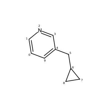 c1cncc(C[C]2CC2)c1